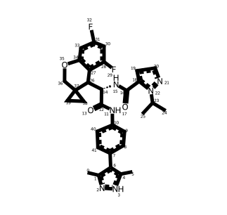 Cc1n[nH]c(C)c1-c1ccc(NC(=O)[C@@H](NC(=O)c2ccnn2C(C)C)C2c3c(F)cc(F)cc3OCC23CC3)cc1